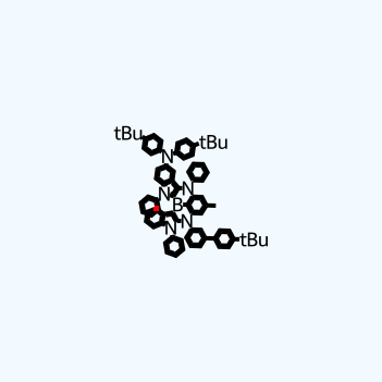 Cc1cc2c3c(c1)N(c1cccc(-c4ccc(C(C)(C)C)cc4)c1)c1c(c4ccccc4n1-c1ccccc1)B3c1c(c3cc(N(c4ccc(C(C)(C)C)cc4)c4ccc(C(C)(C)C)cc4)ccc3n1-c1ccccc1)N2c1ccccc1